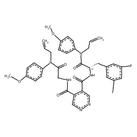 C=CCN(C(=O)CNC(=O)c1cnncc1C(=O)N[C@@H](Cc1cc(F)cc(F)c1)C(=O)N(CC=C)c1ccc(OC)cc1)c1ccc(OC)cc1